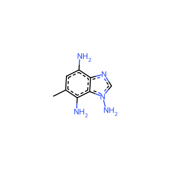 Cc1cc(N)c2ncn(N)c2c1N